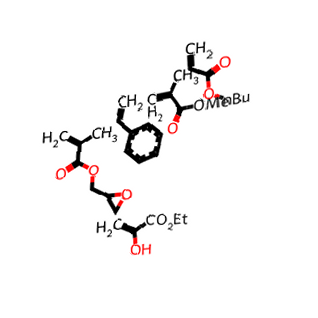 C=C(C)C(=O)OC.C=C(C)C(=O)OCC1CO1.C=C(O)C(=O)OCC.C=CC(=O)OCCCC.C=Cc1ccccc1